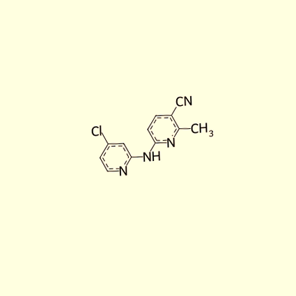 Cc1nc(Nc2cc(Cl)ccn2)ccc1C#N